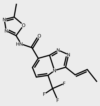 CC=Cc1nnc2c(C(=O)Nc3nnc(C)o3)ccc(C(F)(F)F)n12